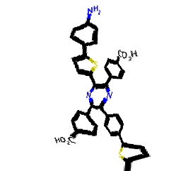 Cc1ccc(-c2ccc(-c3nc(-c4ccc(C(=O)O)cc4)c(-c4ccc(-c5ccc(N)cc5)s4)nc3-c3ccc(C(=O)O)cc3)cc2)s1